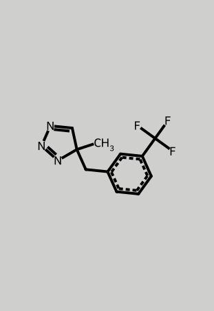 CC1(Cc2cccc(C(F)(F)F)c2)C=NN=N1